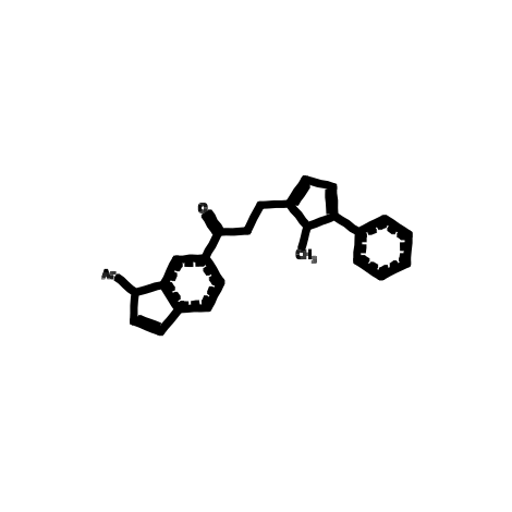 CC(=O)C1C=Cc2ccc(C(=O)CCC3=CC=C(c4ccccc4)C3C)cc21